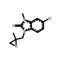 Cn1c(=O)n(CC2(C)CO2)c2ccc(Cl)cc21